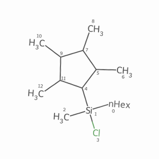 CCCCCC[Si](C)(Cl)C1C(C)C(C)C(C)C1C